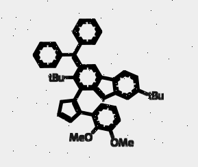 COc1cccc(C2=C(c3c(C(C)(C)C)c(=C(c4ccccc4)c4ccccc4)cc4c3=[C]c3cc(C(C)(C)C)ccc3-4)CC=C2)c1OC